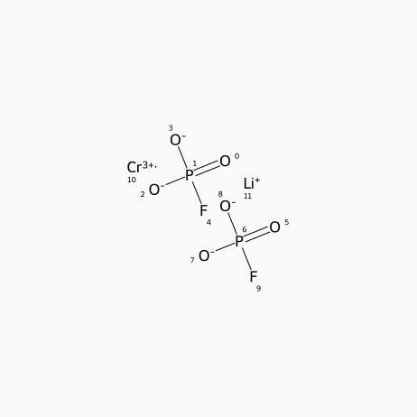 O=P([O-])([O-])F.O=P([O-])([O-])F.[Cr+3].[Li+]